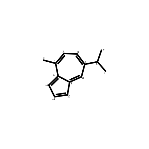 Cc1ccc(C(C)C)cc2cccc1-2